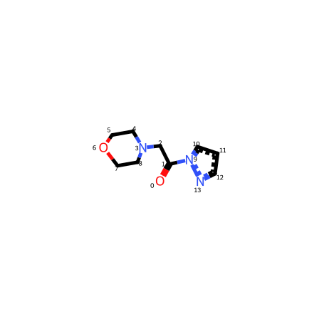 O=C(CN1CCOCC1)n1cccn1